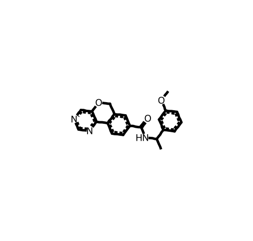 COc1cccc(C(C)NC(=O)c2ccc3c(c2)COc2cncnc2-3)c1